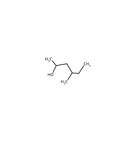 CCC(C)CC(C)O